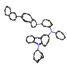 c1ccc(N(c2cccc(-c3ccc4cc(-c5ccc6ccccc6c5)ccc4c3)c2)c2ccc3c(c2)c2ccccc2n3-c2ccccc2)cc1